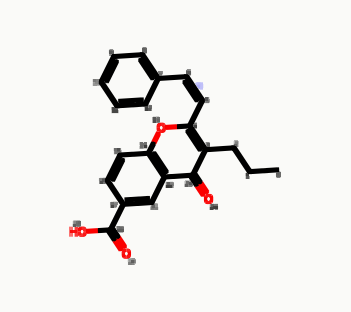 CCCc1c(/C=C\c2ccccc2)oc2ccc(C(=O)O)cc2c1=O